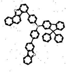 c1ccc(C2(c3ccccc3)c3ccccc3-c3ccc(N(c4ccc(-c5ccc6c(c5)oc5ccccc56)cc4)c4ccc(-c5cccc6oc7c8ccccc8ccc7c56)cc4)cc32)cc1